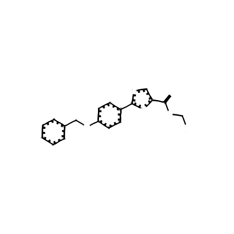 CCOC(=O)c1c[nH]c(-c2ccc(OCc3ccccc3)cc2)n1